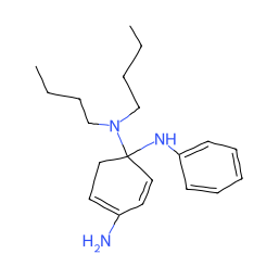 CCCCN(CCCC)C1(Nc2ccccc2)C=CC(N)=CC1